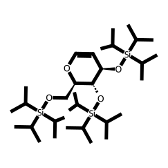 CC(C)[Si](OC[C@H]1OC=C[C@@H](O[Si](C(C)C)(C(C)C)C(C)C)[C@@H]1O[Si](C(C)C)(C(C)C)C(C)C)(C(C)C)C(C)C